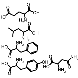 CC(C)CC(N)C(=O)O.NC(=O)CC(N)C(=O)O.NC(CCC(=O)O)C(=O)O.NC(Cc1ccc(O)cc1)C(=O)O.NC(Cc1ccccc1)C(=O)O